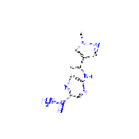 Cn1cc(-c2cc3nc(NN)cnc3[nH]2)cn1